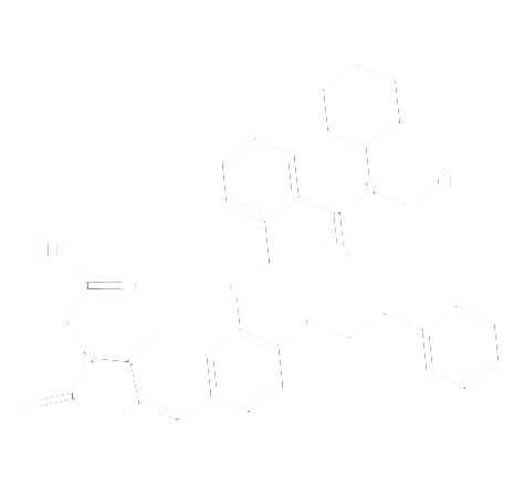 CCN(C(=O)c1ccccc1COc1cc(C=C2SC(=O)N(CC(=O)O)C2=O)ccc1OCCc1ccccc1)C1CCCCC1